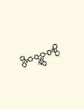 C1=Cc2c(c3ccccc3n2-c2ccc(-c3ccc4c5ccc(-c6ccc(-n7c8ccccc8c8ccccc87)cc6)cc5c5nc6ccccc6n5c4c3)cc2)CC1